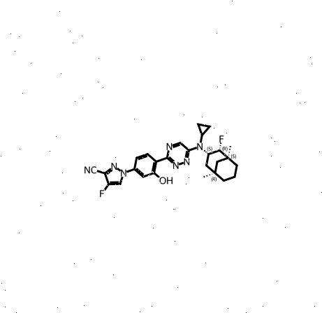 C[C@@]12CCC[C@@](C)(C1)[C@@H](F)[C@@H](N(c1cnc(-c3ccc(-n4cc(F)c(C#N)n4)cc3O)nn1)C1CC1)C2